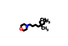 CCC(C)(CC)CCCCN1CCOCC1